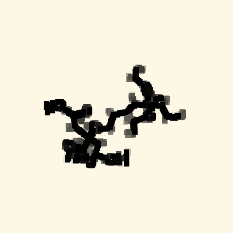 CCO[Si](CCCCOC(CC(=O)O)(CC(=O)O)C(=O)O)(OCC)OCC